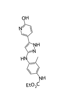 CCOC(=O)Nc1ccc(Nc2cc(-c3ccc(O)nc3)[nH]n2)c(C)c1